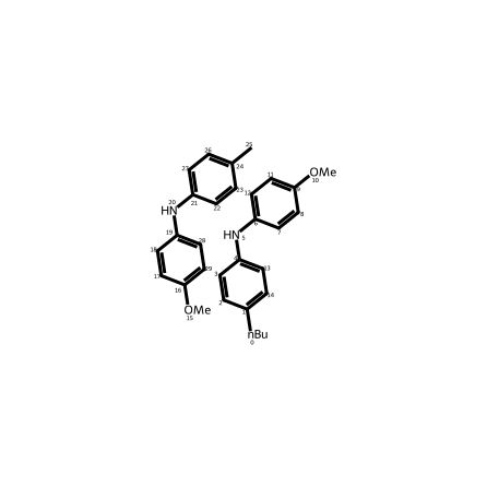 CCCCc1ccc(Nc2ccc(OC)cc2)cc1.COc1ccc(Nc2ccc(C)cc2)cc1